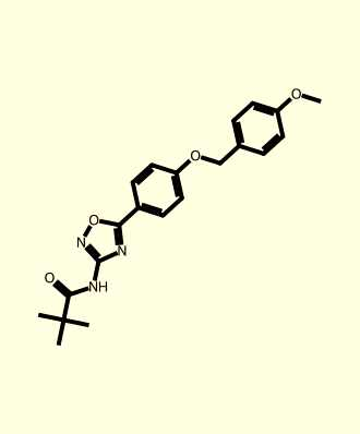 COc1ccc(COc2ccc(-c3nc(NC(=O)C(C)(C)C)no3)cc2)cc1